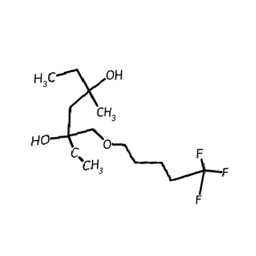 CCC(C)(O)CC(O)(CC)COCCCCC(F)(F)F